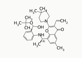 C=Cc1c(N2CCC(C)(C)CC2)oc2c([C@@H](C)Nc3ccccc3C(O)OC(C)(C)C)cc(C)cc2c1=O